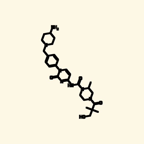 CC1CN(C(=O)C(C)(C)CO)CCN1C(=O)Nc1ccn(-c2ccc(CN3CCC(N)CC3)cc2)c(=O)n1